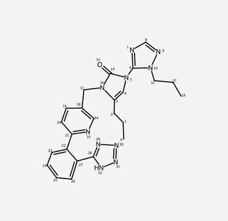 CCCc1cn(-c2ncnn2CCC)c(=O)n1Cc1ccc(-c2ccccc2-c2nnn[nH]2)nc1